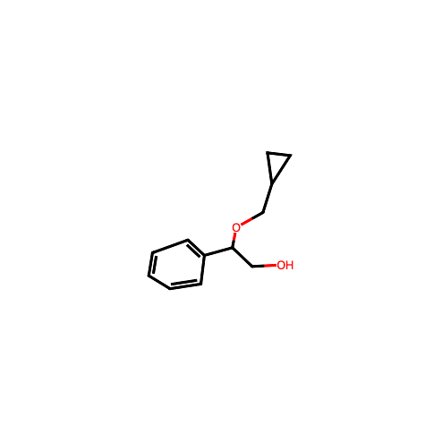 OCC(OCC1CC1)c1ccccc1